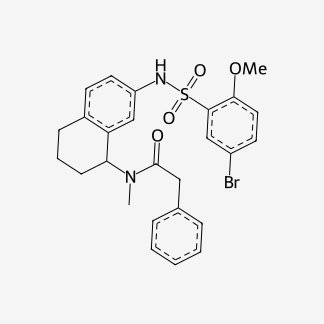 COc1ccc(Br)cc1S(=O)(=O)Nc1ccc2c(c1)C(N(C)C(=O)Cc1ccccc1)CCC2